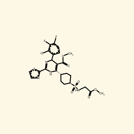 COC(=O)CNS(=O)(=O)[C@H]1CC[C@H](C2=C(C(=O)OC)C(c3ccc(F)c(F)c3Cl)N=C(c3nccs3)N2)CC1